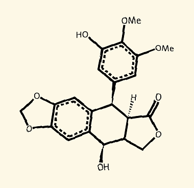 COc1cc([C@@H]2c3cc4c(cc3[C@H](O)C3COC(=O)[C@@H]32)OCO4)cc(O)c1OC